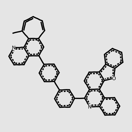 CC1=C=CC=Cc2cc(-c3ccc(-c4cccc(-c5nc6ccccc6c6c5ccc5c7ccccc7oc56)c4)cc3)c3cccnc3c21